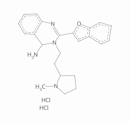 CN1CCCC1CCN1C(c2cc3ccccc3o2)=Nc2ccccc2C1N.Cl.Cl